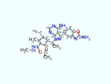 CCNC(=O)c1c(C)c(CI)cc(C(C)n2nc(-c3ccc4oc(N)nc4c3)c3c(N)ncnc32)c1OCC